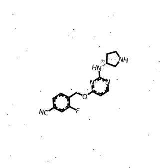 N#Cc1ccc(COc2ccnc(N[C@@H]3CCNC3)n2)c(F)c1